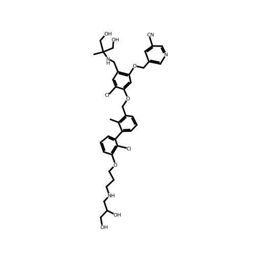 Cc1c(COc2cc(OCc3cncc(C#N)c3)c(CNC(C)(CO)CO)cc2Cl)cccc1-c1cccc(OCCCNCC(O)CO)c1Cl